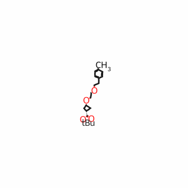 Cc1ccc(CCOCCO[C@H]2C[C@@H](C(=O)OC(C)(C)C)C2)cc1